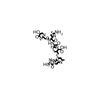 CC1=NC2=CN(C(=O)NO)NN2C(SCC2=C(C(=O)O)N3C(=O)[C@@H](NC(=O)C(=NOCc4ncc(O)c(=O)n4C)c4csc(N)n4)[C@H]3SC2)=C1